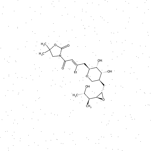 CC/C(=C\C(=O)N1CC(C)(C)OC1=O)C[C@@H]1OC[C@H](C[C@@H]2O[C@H]2[C@@H](C)[C@H](C)O)[C@@H](O)[C@H]1O